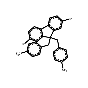 FC(F)(F)c1ccc(CC2(Cc3ccc(C(F)(F)F)cc3)c3cc(Br)ccc3-c3ccc(Br)cc32)cc1